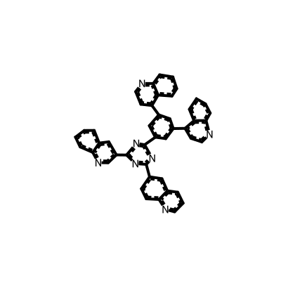 c1cnc2ccc(-c3nc(-c4cc(-c5ccnc6ccccc56)cc(-c5ccnc6ccccc56)c4)nc(-c4cnc5ccccc5c4)n3)cc2c1